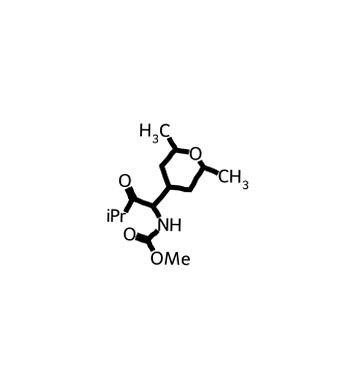 COC(=O)NC(C(=O)C(C)C)C1CC(C)OC(C)C1